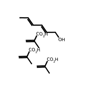 C=C(C)C(=O)O.C=C(C)C(=O)O.C=C(C)C(=O)O.CC=CC=CCO